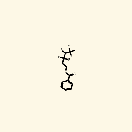 CC(F)(F)C(F)C(F)(F)CCSC(=O)c1ccccc1